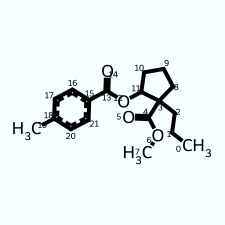 CCCC1(C(=O)OC)CCCC1OC(=O)c1ccc(C)cc1